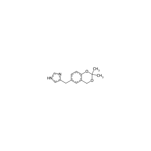 CC1(C)OCc2cc(Cc3c[nH]cn3)ccc2O1